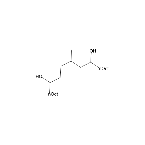 CCCCCCCCC(O)CCC(C)CC(O)CCCCCCCC